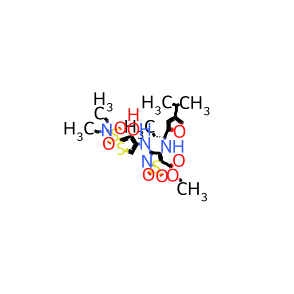 CCOC(=O)C1=C(N[C@H](CC)c2cc(C(C)C)co2)C(Nc2csc(S(=O)(=O)N(CC)CC)c2O)=NS1(=O)=O